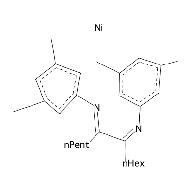 CCCCCCC(=Nc1cc(C)cc(C)c1)C(CCCCC)=Nc1cc(C)cc(C)c1.[Ni]